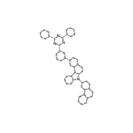 c1ccc(-c2nc(-c3ccccc3)nc(-c3cccc(-c4ccc5ccc6c(c5c4)c4ccccc4n6-c4ccc5ccc6ccccc6c5c4)c3)n2)cc1